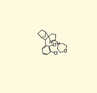 Clc1cccc(C2C3CCC(C3)C23CCC(N2CCOCC2)=N3)c1Cl